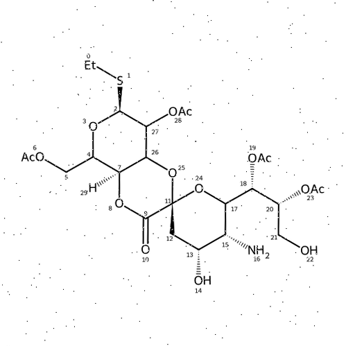 CCS[C@@H]1OC(COC(C)=O)[C@@H]2OC(=O)[C@]3(C[C@@H](O)[C@@H](N)C([C@H](OC(C)=O)[C@@H](CO)OC(C)=O)O3)OC2C1OC(C)=O